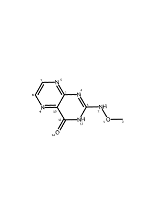 CONc1nc2nccnc2c(=O)[nH]1